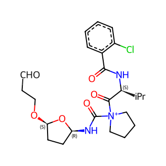 CC(C)[C@H](NC(=O)c1ccccc1Cl)C(=O)[N+]1(C(=O)N[C@H]2CC[C@@H](OCCC=O)O2)CCCC1